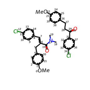 COc1ccc(CC(=Cc2ccc(Cl)cc2)C(=O)N(C)C)cc1.COc1ccc(CCC(=O)c2ccc(Cl)cc2)cc1